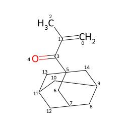 C=C(C)C(=O)C12CC3CC(CC(C3)C1)C2